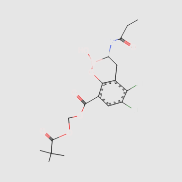 CCC(=O)N[C@H]1Cc2c(Cl)c(Cl)cc(C(=O)OCOC(=O)C(C)(C)C)c2OB1O